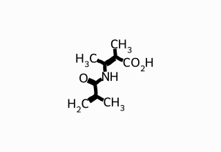 C=C(C)C(=O)NC(C)=C(C)C(=O)O